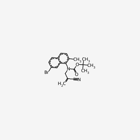 C=C(C#N)CN(C(=O)OC(C)(C)C)c1c(C)ccc2ccc(Br)cc12